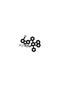 CCc1cc(-c2ccccc2-c2ccc3c(c2)-c2c(C#N)cccc2C3(C)C)c2c(c1-c1ccccc1)-c1cccc3cccc-2c13